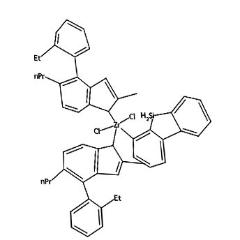 CCCc1ccc2c(c1-c1ccccc1CC)C=C(C)[CH]2[Zr]([Cl])([Cl])([c]1cccc2c1[SiH2]c1ccccc1-2)[CH]1C(C)=Cc2c1ccc(CCC)c2-c1ccccc1CC